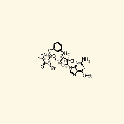 CCOc1nc(N)nc2c1ncn2[C@@H]1O[C@H](CO[P@@](=S)(N[C@H](C)C(=O)OC(C)C)Oc2ccccc2)[C@@H](O)[C@@]1(F)Cl